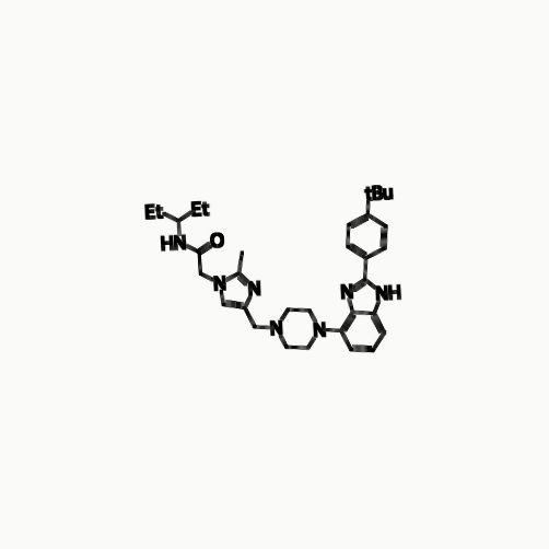 CCC(CC)NC(=O)Cn1cc(CN2CCN(c3cccc4[nH]c(-c5ccc(C(C)(C)C)cc5)nc34)CC2)nc1C